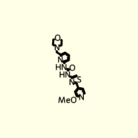 COc1cc(-c2nc(NC(=O)Nc3cccc(CN4CCOCC4)n3)cs2)ccn1